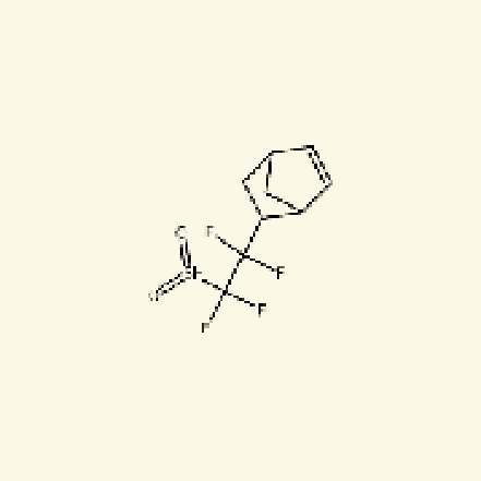 O=[SH](=O)C(F)(F)C(F)(F)C1CC2C=CC1C2